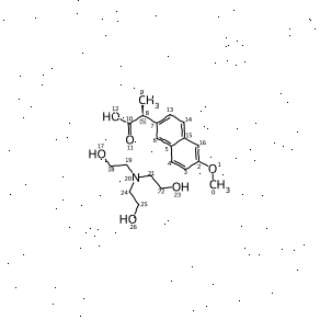 COc1ccc2cc([C@H](C)C(=O)O)ccc2c1.OCCN(CCO)CCO